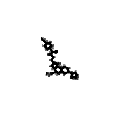 Nc1nc2cc(-c3cc[nH]n3)ccc2c2[nH]c(CCNC(=O)c3ccc(F)cn3)cc12